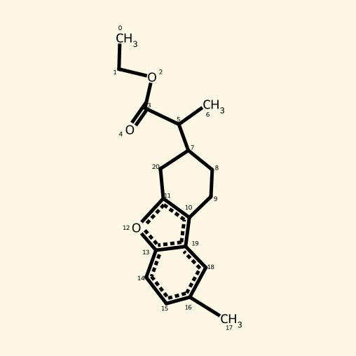 CCOC(=O)C(C)C1CCc2c(oc3ccc(C)cc23)C1